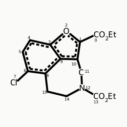 CCOC(=O)c1oc2ccc(Cl)c3c2c1CN(C(=O)OCC)CC3